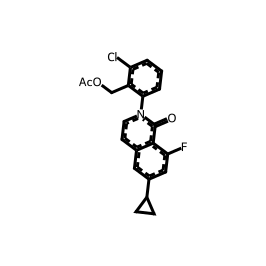 CC(=O)OCc1c(Cl)cccc1-n1ccc2cc(C3CC3)cc(F)c2c1=O